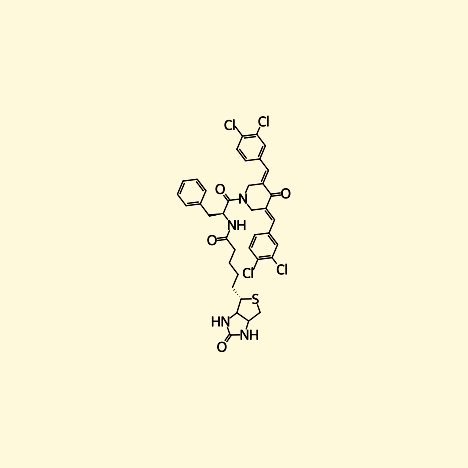 O=C(CCCC[C@@H]1SCC2NC(=O)NC21)N[C@@H](Cc1ccccc1)C(=O)N1C/C(=C\c2ccc(Cl)c(Cl)c2)C(=O)/C(=C/c2ccc(Cl)c(Cl)c2)C1